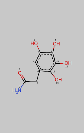 NC(=O)Cc1cc(O)c(O)c(O)c1O